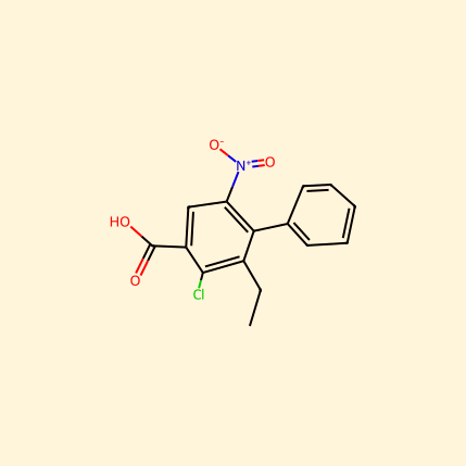 CCc1c(Cl)c(C(=O)O)cc([N+](=O)[O-])c1-c1ccccc1